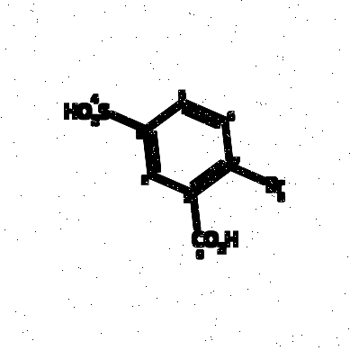 O=C(O)c1cc(S(=O)(=O)O)ccc1Br